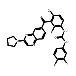 O=C(Nc1ccc(F)c(F)c1)Nc1ccc(Cl)c(C(=O)c2ccc3ncc(N4CCCC4)nc3c2)c1F